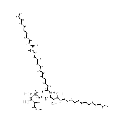 CCCCCCCCCCCCCC[C@@H](O)[C@@H](O)[C@H](CO[C@H]1OC(CO)[C@H](O)[C@H](O)C1O)NC(=O)CCCCCCCCCCCNC(=O)CCCCCCCCCC